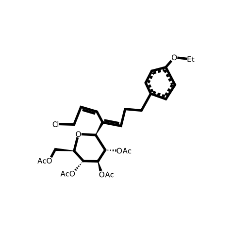 CCOc1ccc(CC/C=C(\C=C/CCl)[C@@H]2O[C@H](COC(C)=O)[C@@H](OC(C)=O)[C@H](OC(C)=O)[C@H]2OC(C)=O)cc1